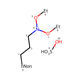 CCCCCCCCCCCCN(OCC)OCC.O=S(=O)(O)O